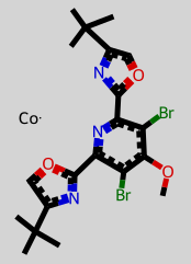 COc1c(Br)c(-c2nc(C(C)(C)C)co2)nc(-c2nc(C(C)(C)C)co2)c1Br.[Co]